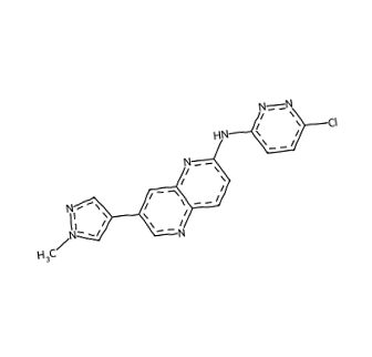 Cn1cc(-c2cnc3ccc(Nc4ccc(Cl)nn4)nc3c2)cn1